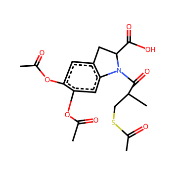 CC(=O)Oc1cc2c(cc1OC(C)=O)N(C(=O)C(C)CSC(C)=O)C(C(=O)O)C2